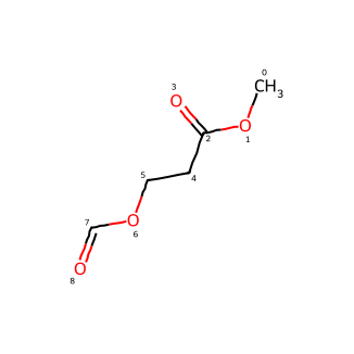 COC(=O)CCOC=O